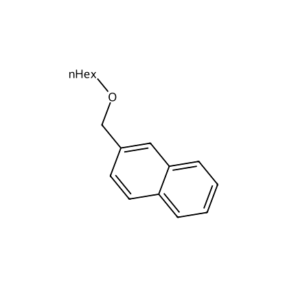 [CH2]CCCCCOCc1ccc2ccccc2c1